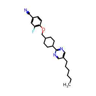 CCCCCCc1cnc(C2CCC(COc3ccc(C#N)cc3F)CC2)nc1